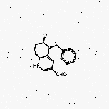 O=CC1=CNC2OCC(=O)N(Cc3ccccc3)C2=C1